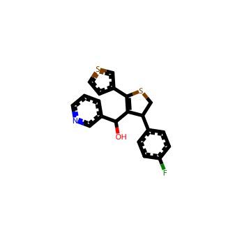 OC(C1=C(c2ccsc2)SCC1c1ccc(F)cc1)c1cccnc1